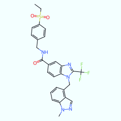 CCS(=O)(=O)c1ccc(CNC(=O)c2ccc3c(c2)nc(C(F)(F)F)n3Cc2cccc3c2cnn3C)cc1